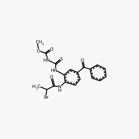 COC(=O)NC(=S)Nc1cc(C(=O)c2ccccc2)ccc1NC(=O)C(C)Br